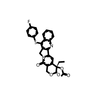 CC[C@@]1(OC(C)=O)C(=O)OCc2c1cc1n(c2=O)Cc2c-1nc1ccccc1c2Sc1ccc(F)cc1